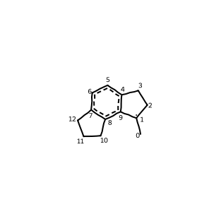 C[C]1CCc2ccc3c(c21)CCC3